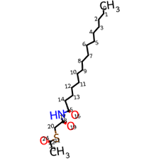 CCCCCCCCCCCCCCCC(=O)NC(=O)CSC(C)=O